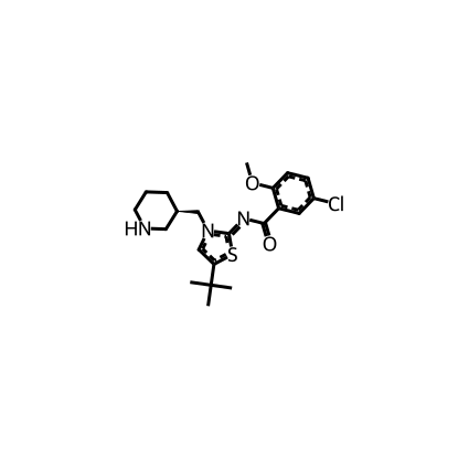 COc1ccc(Cl)cc1C(=O)N=c1sc(C(C)(C)C)cn1C[C@@H]1CCCNC1